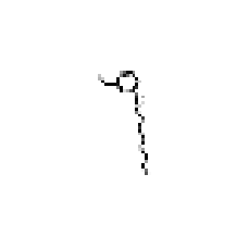 C[CH]c1cccc(OCCCCCCCC)c1